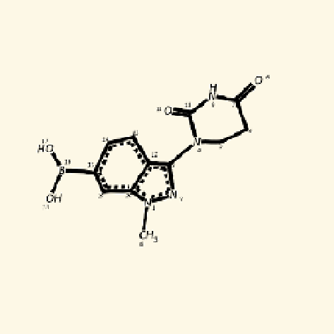 Cn1nc(N2CCC(=O)NC2=O)c2ccc(B(O)O)cc21